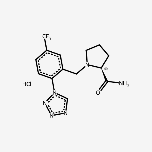 Cl.NC(=O)[C@@H]1CCCN1Cc1cc(C(F)(F)F)ccc1-n1cnnn1